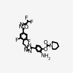 Nc1cc(-c2nnn(Cc3c(F)cc(-c4nnc(C(F)F)o4)cc3F)n2)ccc1OC(=O)N1CCCCC1